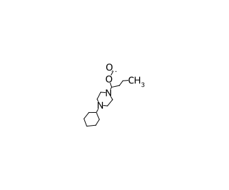 CCCC(O[C]=O)N1CCN(C2CCCCC2)CC1